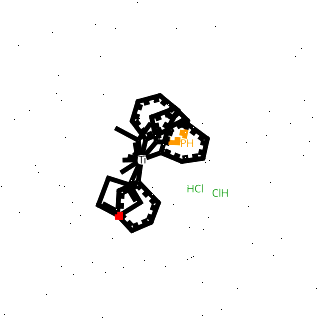 C[C](C)=[Ti]([CH3])([CH3])([CH3])([CH3])([C]1=CC=CC1)([c]1ccccc1)([c]1ccccc1)([c]1ccccc1)[c]1ccc[pH]1.Cl.Cl